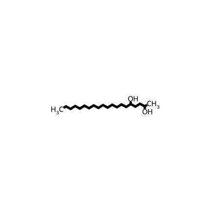 CCCCCCCCCCCCCCCC(O)CCC(C)O